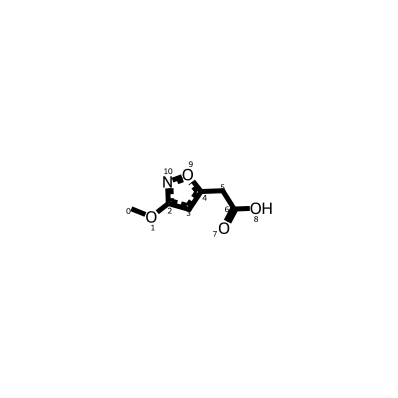 COc1cc(CC(=O)O)on1